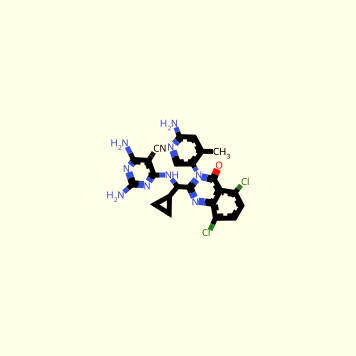 Cc1cc(N)ncc1-n1c(C(Nc2nc(N)nc(N)c2C#N)C2CC2)nc2c(Cl)ccc(Cl)c2c1=O